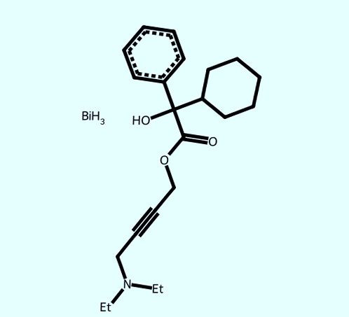 CCN(CC)CC#CCOC(=O)C(O)(c1ccccc1)C1CCCCC1.[BiH3]